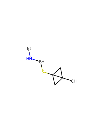 CCNBSC12CC1(C)C2